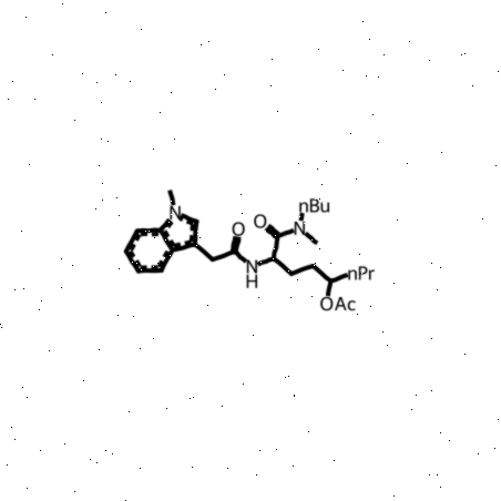 CCCCN(C)C(=O)C(CCC(CCC)OC(C)=O)NC(=O)Cc1cn(C)c2ccccc12